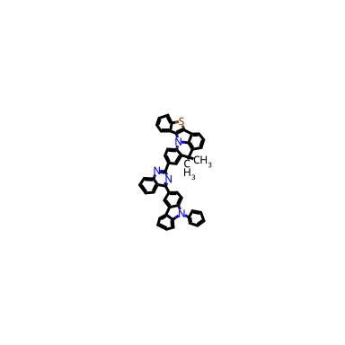 CC1(C)c2cc(-c3nc(-c4ccc5c(c4)c4ccccc4n5-c4ccccc4)c4ccccc4n3)ccc2-n2c3c1cccc3c1sc3ccccc3c12